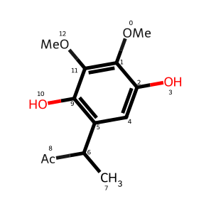 COc1c(O)cc(C(C)C(C)=O)c(O)c1OC